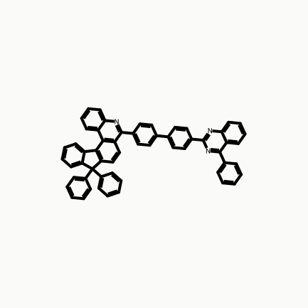 c1ccc(-c2nc(-c3ccc(-c4ccc(-c5nc6ccccc6c6c7c(ccc56)C(c5ccccc5)(c5ccccc5)c5ccccc5-7)cc4)cc3)nc3ccccc23)cc1